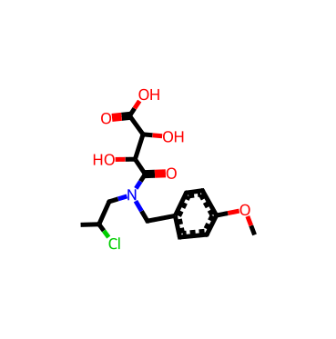 COc1ccc(CN(CC(C)Cl)C(=O)C(O)C(O)C(=O)O)cc1